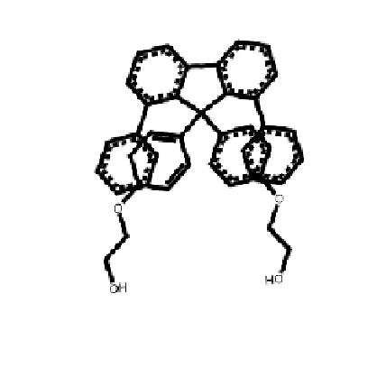 OCCOc1ccc(C2(C3=CCC(OCCO)C=C3)c3c(-c4ccccc4)cccc3-c3cccc(-c4ccccc4)c32)cc1